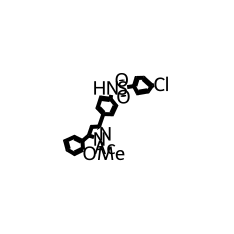 COc1ccccc1C1CC(c2ccc(NS(=O)(=O)c3ccc(Cl)cc3)cc2)=NN1C(C)=O